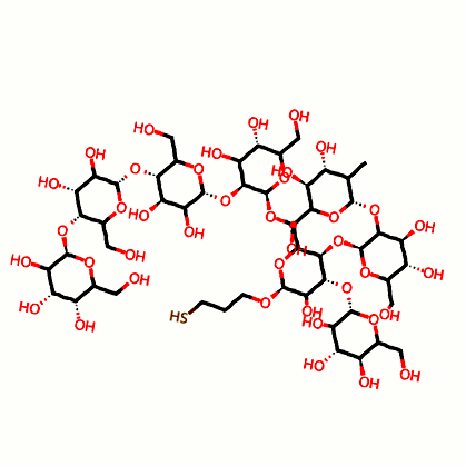 CC1[C@H](OC2[C@H](O[C@@H]3C(CO[C@@H]4OC(CO)[C@@H](O)C(O)[C@@H]4O[C@H]4OC(CO)[C@@H](O[C@@H]5OC(CO)[C@H](O[C@H]6OC(CO)[C@H](O)[C@H](O)C6O)[C@H](O)C5O)[C@H](O)C4O)O[C@H](OCCCS)C(O)[C@H]3O[C@@H]3OC(CO)[C@@H](O)[C@H](O)C3O)OC(CO)[C@@H](O)[C@@H]2O)OC(CO)[C@@H](O)[C@@H]1O